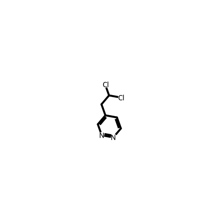 ClC(Cl)Cc1ccnnc1